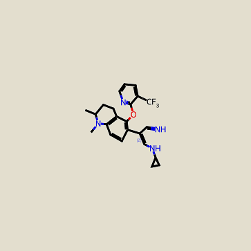 CC1CCc2c(ccc(/C(C=N)=C/NC3CC3)c2Oc2ncccc2C(F)(F)F)N1C